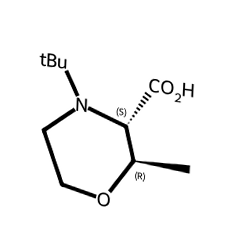 C[C@H]1OCCN(C(C)(C)C)[C@@H]1C(=O)O